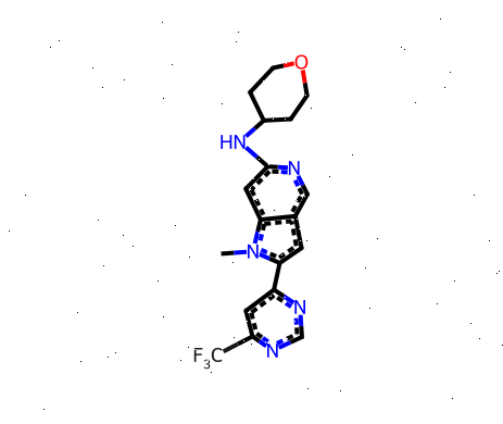 Cn1c(-c2cc(C(F)(F)F)ncn2)cc2cnc(NC3CCOCC3)cc21